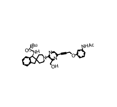 CC(=O)Nc1cccc(OCC#Cc2cnc(N3CCC4(CC3)Cc3ccccc3[C@H]4N[S+]([O-])C(C)(C)C)c(CO)n2)c1